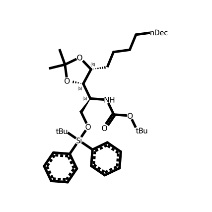 CCCCCCCCCCCCCC[C@H]1OC(C)(C)O[C@H]1[C@H](CO[Si](c1ccccc1)(c1ccccc1)C(C)(C)C)NC(=O)OC(C)(C)C